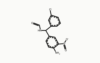 Nc1ccc(C(NC=O)c2cccc(Cl)c2)cc1[N+](=O)[O-]